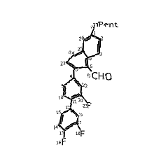 CCCCCc1ccc2c(C=O)c(-c3ccc(-c4ccc(F)c(F)c4)c(F)c3)ccc2c1